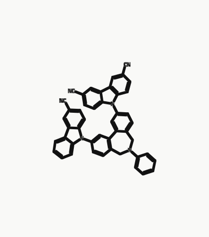 N#Cc1ccc2c(c1)c1ccccc1n2-c1ccc2c(c1)-c1cc(-n3c4ccc(C#N)cc4c4cc(C#N)ccc43)ccc1CN(c1ccccc1)C2